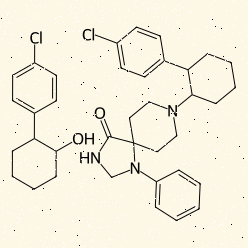 O=C1NCN(c2ccccc2)C12CCN(C1CCCCC1c1ccc(Cl)cc1)CC2.OC1CCCCC1c1ccc(Cl)cc1